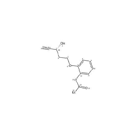 C#C[C@H](O)CCOc1ccccc1OC(=O)CC